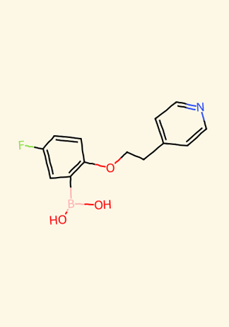 OB(O)c1cc(F)ccc1OCCc1ccncc1